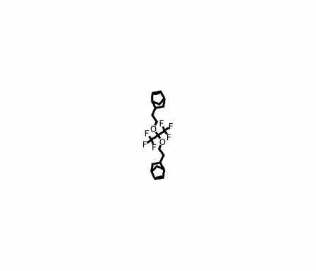 FC(F)(F)C(OCCC1CC2C=CC1C2)(OCCC1CC2C=CC1C2)C(F)(F)F